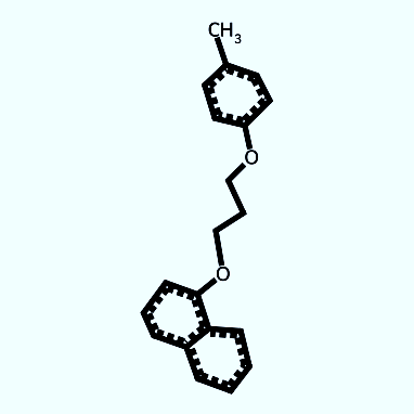 Cc1ccc(OCCCOc2cccc3ccccc23)cc1